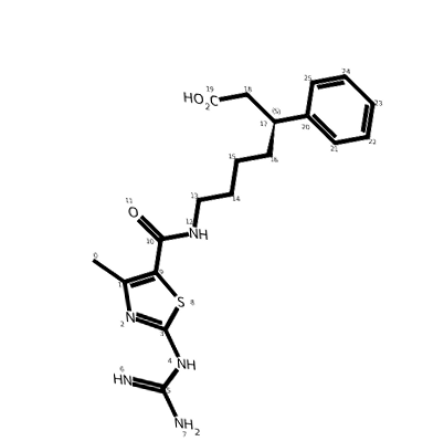 Cc1nc(NC(=N)N)sc1C(=O)NCCCC[C@@H](CC(=O)O)c1ccccc1